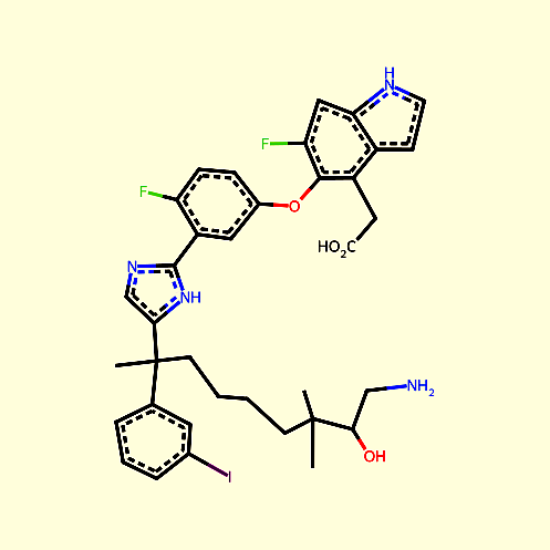 CC(CCCCC(C)(C)C(O)CN)(c1cccc(I)c1)c1cnc(-c2cc(Oc3c(F)cc4[nH]ccc4c3CC(=O)O)ccc2F)[nH]1